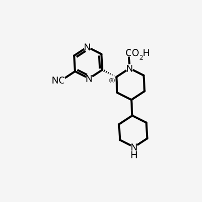 N#Cc1cncc([C@H]2CC(C3CCNCC3)CCN2C(=O)O)n1